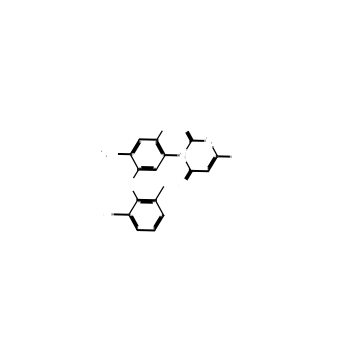 Cc1cccc(Cl)c1Oc1cc(-n2c(=O)cc(C(F)(F)F)[nH]c2=O)c(F)cc1C#N